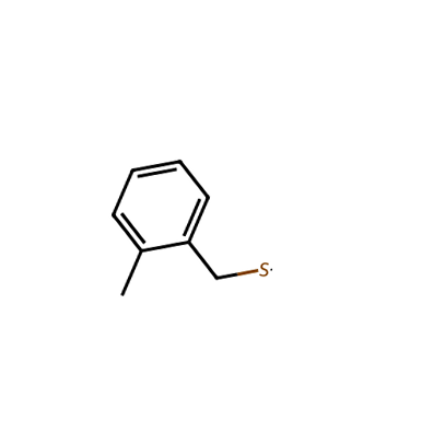 Cc1ccccc1C[S]